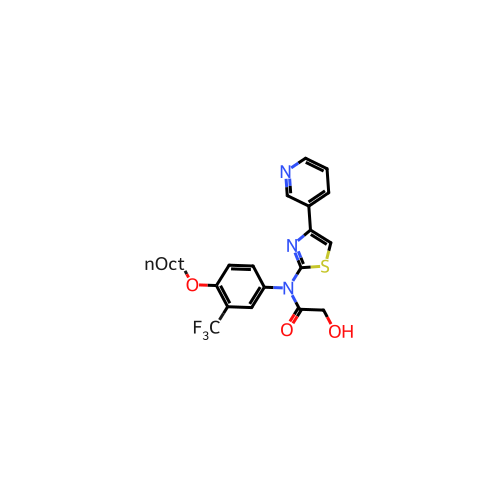 CCCCCCCCOc1ccc(N(C(=O)CO)c2nc(-c3cccnc3)cs2)cc1C(F)(F)F